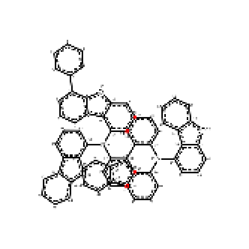 c1ccc(-c2cccc3c2oc2cccc(N(c4ccccc4-c4ccccc4N(c4cccc5c4sc4ccccc45)c4cccc5oc6ccccc6c45)c4cccc5c4sc4ccccc45)c23)cc1